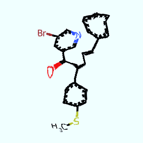 CSc1ccc(C(CC=Cc2ccccc2)C(=O)c2cncc(Br)c2)cc1